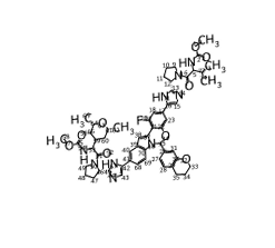 COC(=O)NC(C(=O)N1CCC[C@H]1c1ncc(-c2cc(F)c3c(c2)OC(c2ccc4c(c2)OCCC4)n2c-3cc3cc(-c4cnc([C@@H]5CCCN5C(=O)C(NC(=O)OC)C5C[C@@H](C)O[C@@H](C)C5)[nH]4)ccc32)[nH]1)C(C)C